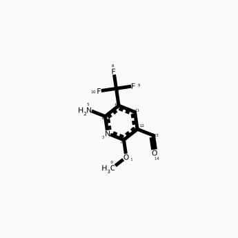 COc1nc(N)c(C(F)(F)F)cc1C=O